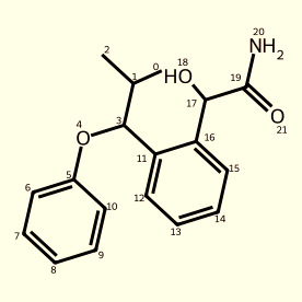 CC(C)C(Oc1ccccc1)c1ccccc1C(O)C(N)=O